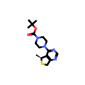 C[C@H]1SCc2ncnc(N3CCN(C(=O)OC(C)(C)C)CC3)c21